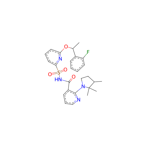 CC(Oc1cccc(S(=O)(=O)NC(=O)c2cccnc2N2CCC(C)C2(C)C)n1)c1ccccc1F